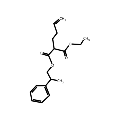 C=CCCC(C(=O)OCC)C(=O)OCC(C)c1ccccc1